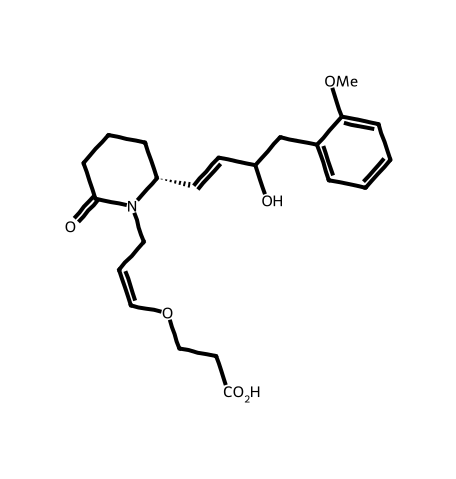 COc1ccccc1CC(O)/C=C/[C@H]1CCCC(=O)N1C/C=C\OCCC(=O)O